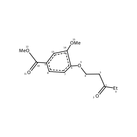 CCC(=O)CCOc1ccc(C(=O)OC)cc1OC